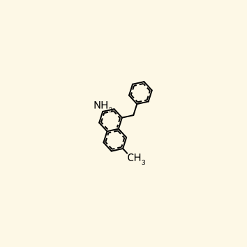 Cc1ccc2cccc(Cc3ccccc3)c2c1.N